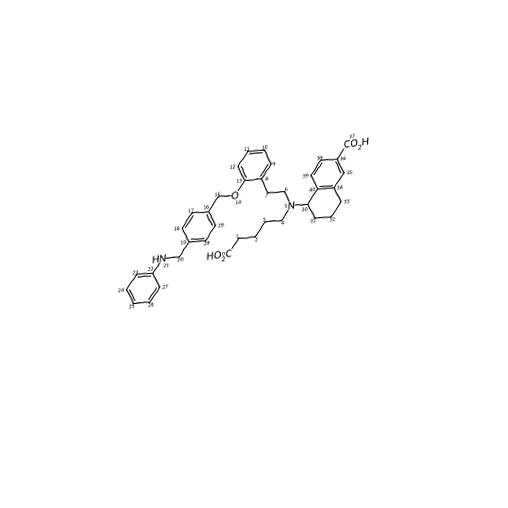 O=C(O)CCCCN(CCc1ccccc1OCc1ccc(CNc2ccccc2)cc1)C1CCCc2cc(C(=O)O)ccc21